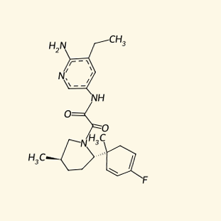 CCc1cc(NC(=O)C(=O)N2C[C@H](C)CC[C@H]2C2(C)C=CC(F)=CC2)cnc1N